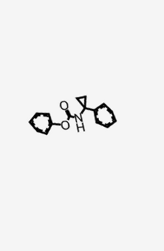 O=C(NC1(c2ccccc2)CC1)Oc1ccccc1